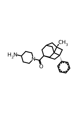 C[C@]12CC3CC4(C(=O)N5CCC(N)CC5)CC1(C3)[C@](c1ccccc1)(C4)C2